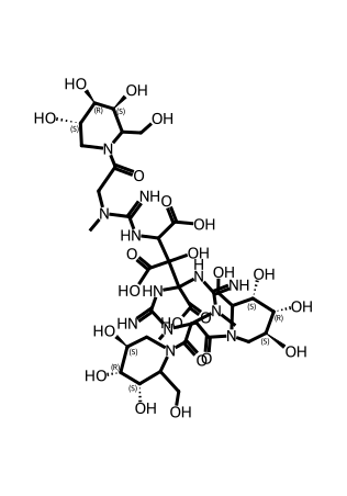 CN(CC(=O)N1C[C@H](O)[C@@H](O)[C@@H](O)C1CO)C(=N)NC(C(=O)O)C(O)(C(=O)O)C(NC(=N)N(C)CC(=O)N1C[C@H](O)[C@@H](O)[C@@H](O)C1CO)(NC(=N)N(C)CC(=O)N1C[C@H](O)[C@@H](O)[C@@H](O)C1CO)C(=O)O